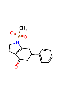 CS(=O)(=O)n1ccc2c1CC(c1ccccc1)CC2=O